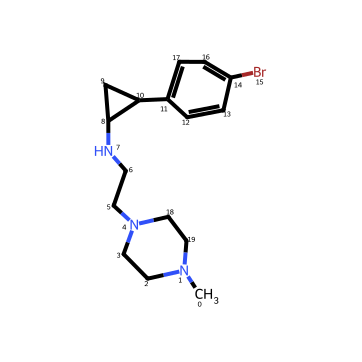 CN1CCN(CCNC2CC2c2ccc(Br)cc2)CC1